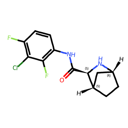 O=C(Nc1ccc(F)c(Cl)c1F)[C@H]1N[C@@H]2CC[C@H]1C2